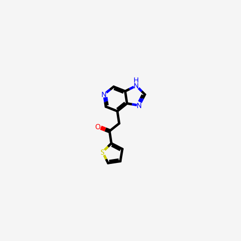 O=C(Cc1cncc2[nH]cnc12)c1cccs1